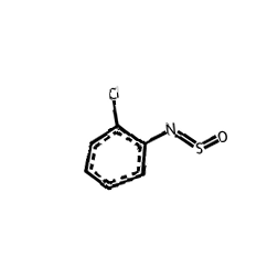 O=S=Nc1ccccc1Cl